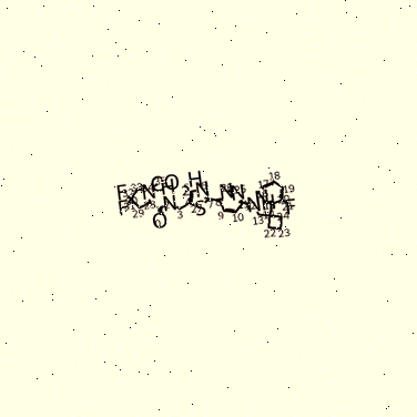 O=C(NCc1cnc(-c2ccc(NCC3(c4ncccc4F)CCC3)nn2)s1)[C@@H]1CC(F)(F)CN1C(=O)O